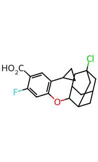 O=C(O)c1cc(C2CC2)c(OC2C3CC4CC2CC(Cl)(C4)C3)cc1F